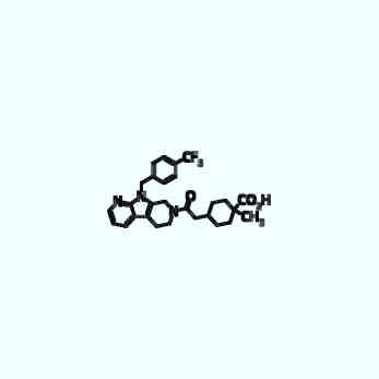 CC1(C(=O)O)CCC(CC(=O)N2CCc3c(n(Cc4ccc(C(F)(F)F)cc4)c4ncccc34)C2)CC1